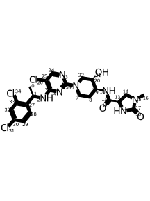 C[C@@H](Nc1nc(N2CC[C@H](NC(=O)[C@H]3CN(C)C(=O)N3)[C@@H](O)C2)ncc1Cl)c1ccc(Cl)cc1Cl